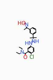 CCN(CC)C(=O)c1cc(NNC(C)(C)c2cccc(/C(C)=N/O)c2)ccc1Cl